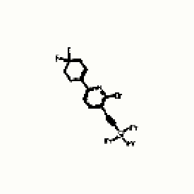 CC(C)[Si](C#Cc1ccc(C2=CCC(F)(F)CC2)nc1Br)(C(C)C)C(C)C